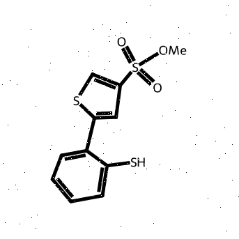 COS(=O)(=O)c1csc(-c2ccccc2S)c1